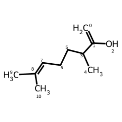 C=C(O)C(C)CCC=C(C)C